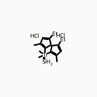 CCC1=CC(C)=[C]([Ti]([CH3])([CH3])(=[SiH2])[C]2=C(C)C=C(CC)C2)C1.Cl.Cl